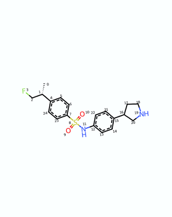 C[C@@H](CF)c1ccc(S(=O)(=O)Nc2ccc(C3CCNC3)cc2)cc1